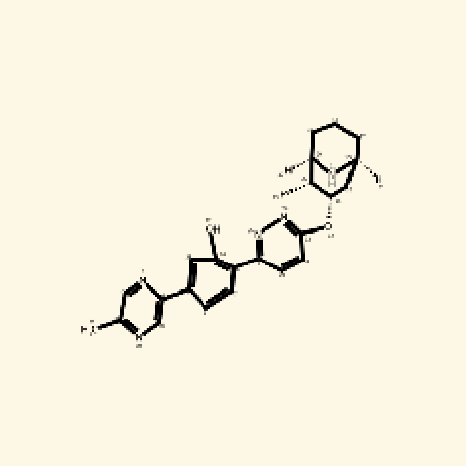 Cc1cnc(-c2ccc(-c3ccc(O[C@H]4C[C@@H]5CCC[C@@H](N5)[C@H]4F)nn3)c(O)c2)cn1